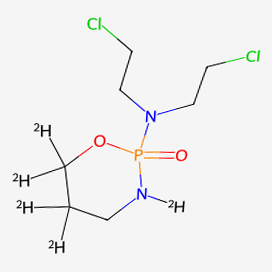 [2H]N1CC([2H])([2H])C([2H])([2H])OP1(=O)N(CCCl)CCCl